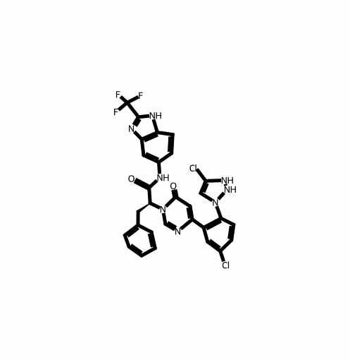 O=C(Nc1ccc2[nH]c(C(F)(F)F)nc2c1)[C@H](Cc1ccccc1)n1cnc(-c2cc(Cl)ccc2N2C=C(Cl)NN2)cc1=O